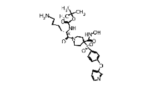 CC(C)(C)OC(=O)N[C@@H](CCCCN)C(=O)N1CCC(C(=O)NO)(S(=O)(=O)c2ccc(Oc3cccnc3)cc2)CC1